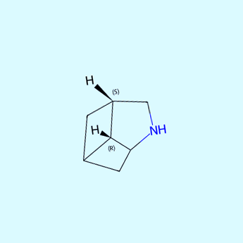 C1C2C[C@@H]3CNC1[C@H]23